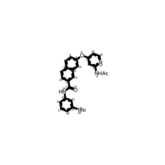 CC(=O)Nc1cc(Oc2ccc3ccc(C(=O)Nc4cccc(C(C)(C)C)c4)cc3c2)ccn1